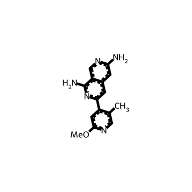 COc1cc(-c2cc3cc(N)ncc3c(N)n2)c(C)cn1